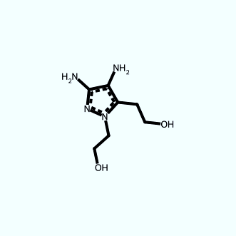 Nc1nn(CCO)c(CCO)c1N